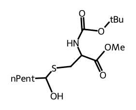 CCCCCC(O)SCC(NC(=O)OC(C)(C)C)C(=O)OC